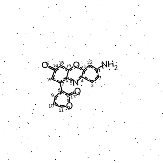 Nc1ccc2nc3c(-c4cccoc4=O)cc(=O)cc-3oc2c1